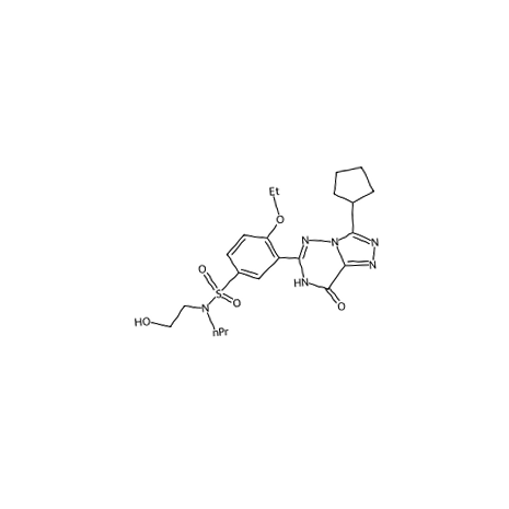 CCCN(CCO)S(=O)(=O)c1ccc(OCC)c(-c2nn3c(C4CCCC4)nnc3c(=O)[nH]2)c1